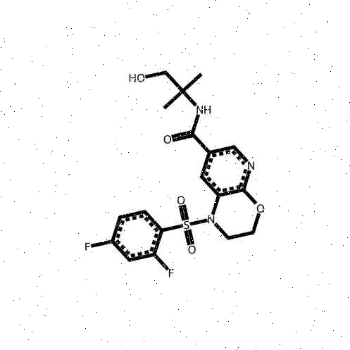 CC(C)(CO)NC(=O)c1cnc2c(c1)N(S(=O)(=O)c1ccc(F)cc1F)CCO2